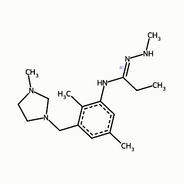 CC/C(=N\NC)Nc1cc(C)cc(CN2CCN(C)C2)c1C